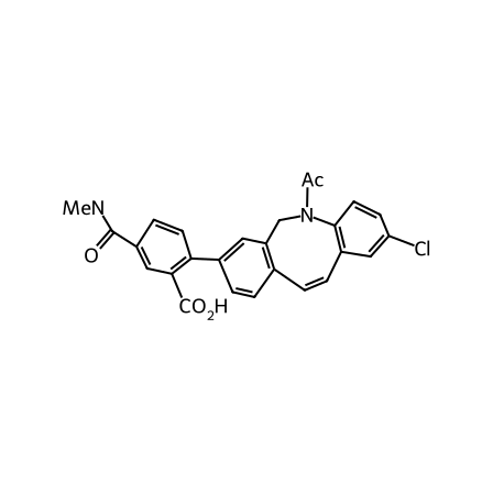 CNC(=O)c1ccc(-c2ccc3c(c2)CN(C(C)=O)c2ccc(Cl)cc2C=C3)c(C(=O)O)c1